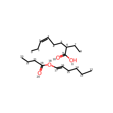 CC/C=C\CCC(CC)C(=O)O.CCCCC=COC(=O)CCC